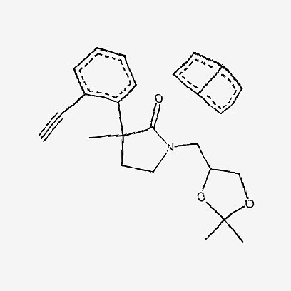 C#Cc1ccccc1C1(C)CCN(CC2COC(C)(C)O2)C1=O.c1cc2ccc1-2